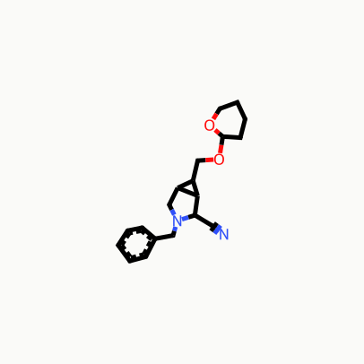 N#CC1C2C(COC3CCCCO3)C2CN1Cc1ccccc1